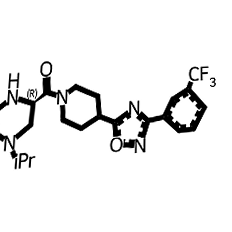 CC(C)N1CCN[C@@H](C(=O)N2CCC(c3nc(-c4cccc(C(F)(F)F)c4)no3)CC2)C1